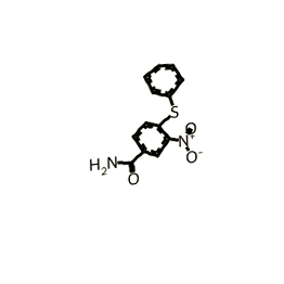 NC(=O)c1ccc(Sc2ccccc2)c([N+](=O)[O-])c1